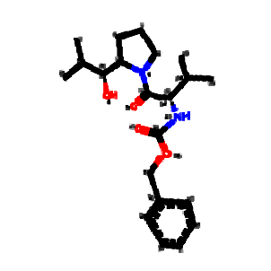 CC(C)[C@@H](O)C1CCCN1C(=O)[C@@H](NC(=O)OCc1ccccc1)C(C)C